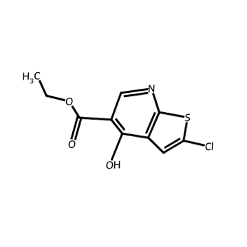 CCOC(=O)c1cnc2sc(Cl)cc2c1O